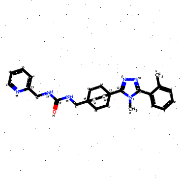 Cn1c(-c2ccccc2C(F)(F)F)nnc1C12CCC(CNC(=O)NCc3ccccn3)(CC1)CC2